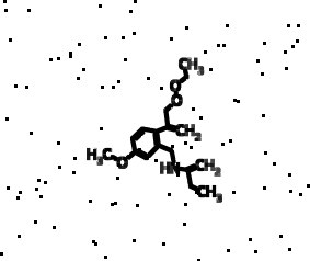 C=C(CC)NCc1cc(OC)ccc1C(=C)COOCC